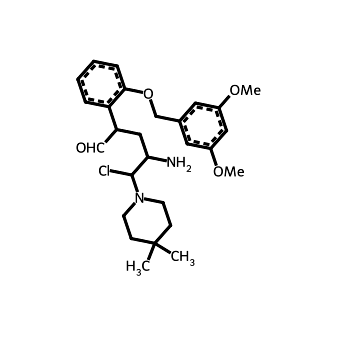 COc1cc(COc2ccccc2C(C=O)CC(N)C(Cl)N2CCC(C)(C)CC2)cc(OC)c1